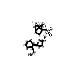 CC1(C)C2CCC1(CS(=O)(=O)ON=C1C=CC(=C3CC=CC=C3CC#N)S1)C(=O)C2